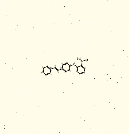 CCN(CC)c1ccccc1Oc1ccc(N=Nc2ccccc2)cc1